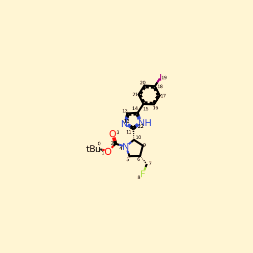 CC(C)(C)OC(=O)N1C[C@@H](CF)C[C@H]1c1ncc(-c2ccc(I)cc2)[nH]1